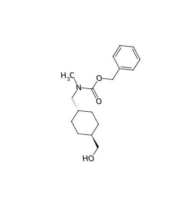 CN(C[C@H]1CC[C@H](CO)CC1)C(=O)OCc1ccccc1